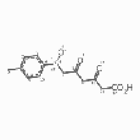 Cc1ccc([S@@+]([O-])CC(=O)CC(=O)CC(=O)O)cc1